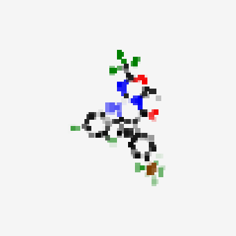 CN1C(=O)[C@H](c2ccc(S(F)(F)(F)(F)F)cc2)[C@@](C)(c2ccc(F)cc2F)N/C1=N/C(=O)C(F)(F)F